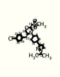 CC(C)n1ccc(C2CCC(N3C[C@H](CS(C)(=O)=O)OC[C@@H]3Cc3ccc(Cl)cc3)CC2)n1